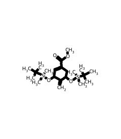 C=C1C(O[Si](C)(C)C(C)(C)C)C=C(C(=O)OC)CC1O[Si](C)(C)C(C)(C)C